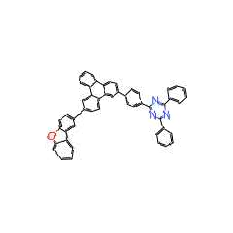 c1ccc(-c2nc(-c3ccccc3)nc(-c3ccc(-c4ccc5c6ccccc6c6cc(-c7ccc8oc9ccccc9c8c7)ccc6c5c4)cc3)n2)cc1